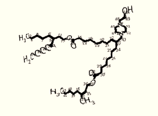 C=C=C=C=CC(CCCCC)CCOC(=O)CCCCCCCC(CCCCCCCC(=O)OCCC(C)CCCCC)CN1CCN(CCO)CC1